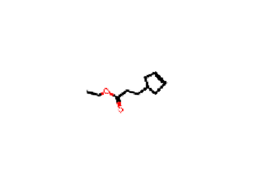 CCOC(=O)CCC1CC=CC1